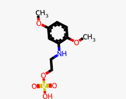 COc1ccc(OC)c(NCCOS(=O)(=O)O)c1